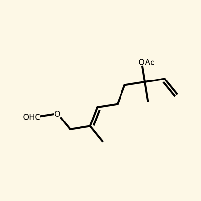 C=CC(C)(CCC=C(C)COC=O)OC(C)=O